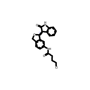 O=C(CCCCl)Nc1ccc2c(c1)/C(=C1/C(=O)Nc3ccccc31)OC2